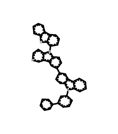 c1ccc(-c2cccc(-n3c4ccccc4c4cc(-c5ccc6c(c5)c5cnccc5n6-c5cccc6c5oc5ccccc56)ccc43)c2)cc1